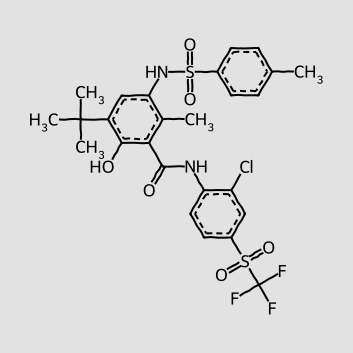 Cc1ccc(S(=O)(=O)Nc2cc(C(C)(C)C)c(O)c(C(=O)Nc3ccc(S(=O)(=O)C(F)(F)F)cc3Cl)c2C)cc1